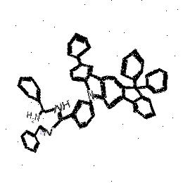 NC(NC(/N=C/c1ccccc1)c1cccc(-n2c3ccc(-c4ccccc4)cc3c3cc4c(cc32)-c2ccccc2C4(c2ccccc2)c2ccccc2)c1)c1ccccc1